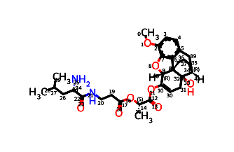 COc1ccc2c3c1O[C@H]1C(OC(=O)[C@H](C)OC(=O)CCNC(=O)[C@@H](N)CC(C)C)=CC[C@@]4(O)[C@H](CCC[C@]314)C2